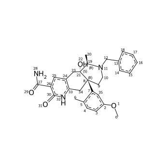 COc1ccc(C)c([C@]23CCN(Cc4ccccc4)[C@H](C)[C@]2(O)Cc2cc(C(N)=O)c(=O)[nH]c2C3)c1